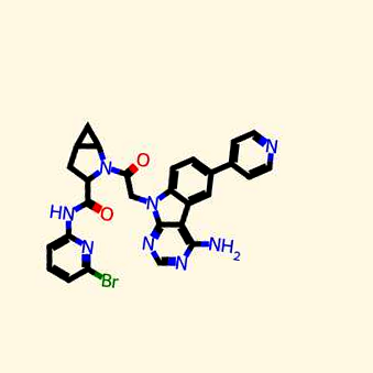 Nc1ncnc2c1c1cc(-c3ccncc3)ccc1n2CC(=O)N1C(C(=O)Nc2cccc(Br)n2)CC2CC21